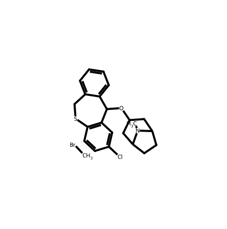 CBr.CN1C2CCC1CC(OC1c3ccccc3CSc3ccc(Cl)cc31)C2